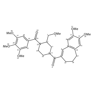 COCC1CN(C(=O)C2=Cc3cc(OC)c(OC)cc3CCC2)CCN1C(=O)c1cc(OC)c(OC)c(OC)c1